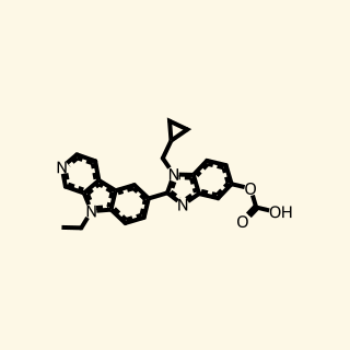 CCn1c2ccc(-c3nc4cc(OC(=O)O)ccc4n3CC3CC3)cc2c2ccncc21